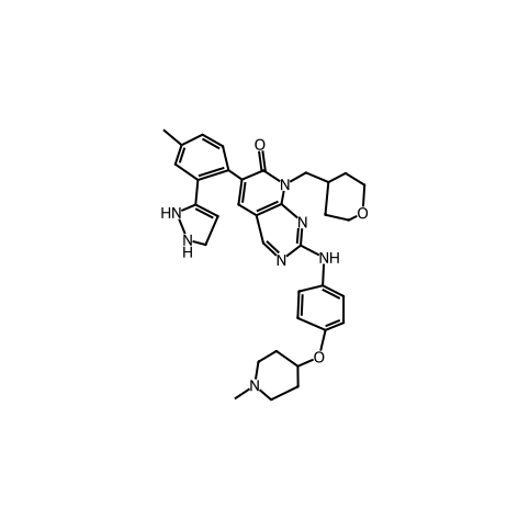 Cc1ccc(-c2cc3cnc(Nc4ccc(OC5CCN(C)CC5)cc4)nc3n(CC3CCOCC3)c2=O)c(C2=CCNN2)c1